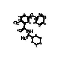 O=C(NC(O)C1CCCCC1)c1cc(Oc2cccnn2)ccc1Cl